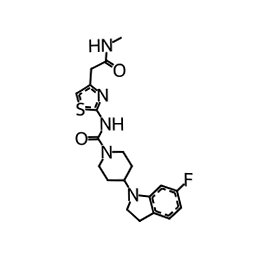 CNC(=O)Cc1csc(NC(=O)N2CCC(N3CCc4ccc(F)cc43)CC2)n1